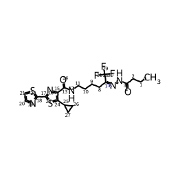 CCCC(=O)N/N=C(/CCCCNC(=O)c1nc(-c2nccs2)sc1C1CC1)C(F)(F)F